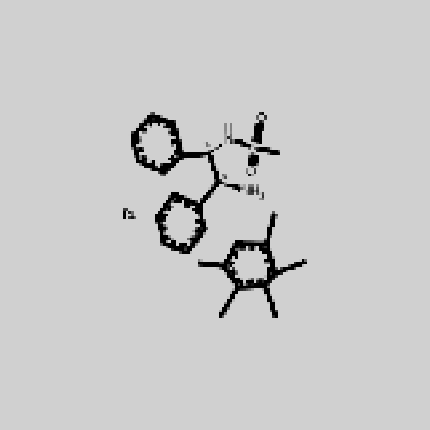 CS(=O)(=O)N[C@@H](c1ccccc1)[C@@H](N)c1ccccc1.Cc1cc(C)c(C)c(C)c1C.[Ru]